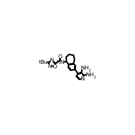 CC(C)(C)c1noc(C(=O)NC2CCCCc3cc(-c4ccnc(N)c4N)ccc32)n1